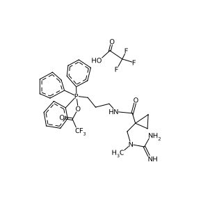 CN(CC1(C(=O)NCCCP(OC(=O)C(F)(F)F)(c2ccccc2)(c2ccccc2)c2ccccc2)CC1)C(=N)N.O=C(O)C(F)(F)F